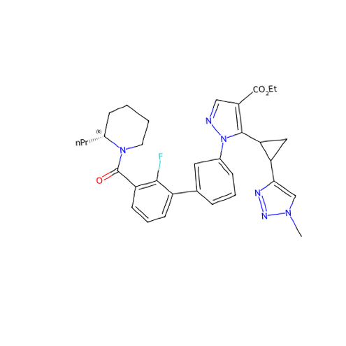 CCC[C@@H]1CCCCN1C(=O)c1cccc(-c2cccc(-n3ncc(C(=O)OCC)c3C3CC3c3cn(C)nn3)c2)c1F